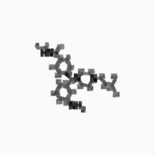 C=C(NCC)c1ccc([C@H](c2cccc(N)c2)N2CCN(CC=C(C)C)CC2)cc1